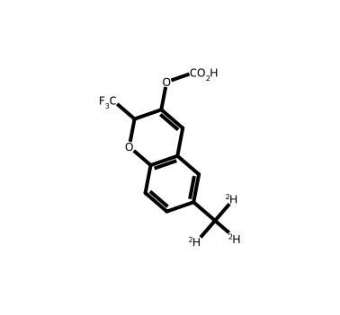 [2H]C([2H])([2H])c1ccc2c(c1)C=C(OC(=O)O)C(C(F)(F)F)O2